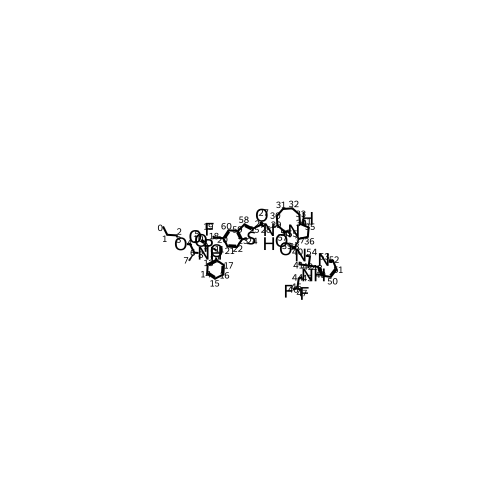 CCCOC(=O)[C@H](C)NP(=O)(Oc1ccccc1)C(F)c1ccc2sc(C(=O)N[C@H]3CCCC[C@H]4CC[C@@H](C(=O)N5CC(NCC(F)F)(c6ccccn6)C5)N4C3=O)cc2c1